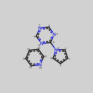 c1ccn(-c2ncncn2)c1.c1ccncc1